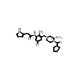 Cc1c(CN2CCN(C(=O)C3CCCC3)[C@@H](C)C2)cc(Cl)cc1NC(=O)CC1CCCN1